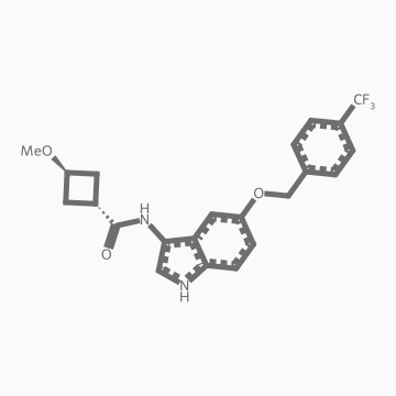 CO[C@H]1C[C@H](C(=O)Nc2c[nH]c3ccc(OCc4ccc(C(F)(F)F)cc4)cc23)C1